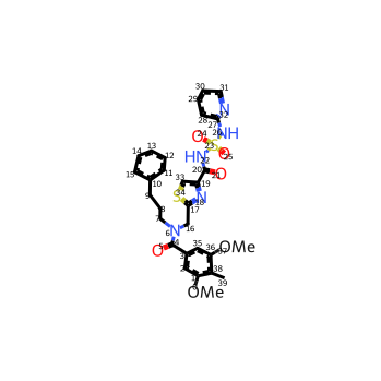 COc1cc(C(=O)N(CCCc2ccccc2)Cc2nc(C(=O)NS(=O)(=O)Nc3ccccn3)cs2)cc(OC)c1C